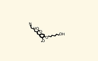 COc1cc(C=C(CCCC#N)C(=O)O)ccc1OCCCCCCO